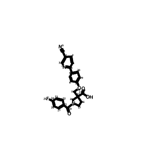 N#Cc1ccc(-c2ccc(OCC3(C(=O)O)CCN(C(=O)c4ccc(F)cc4)C3)cc2)nc1